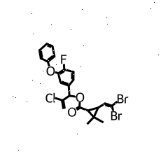 C=C(Cl)C(OC(=O)C1C(C=C(Br)Br)C1(C)C)c1ccc(F)c(Oc2ccccc2)c1